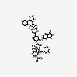 COc1ccccc1C1CCCN1C1CC2(CCN(c3ccc(C(=O)NS(=O)(=O)[C@]4(NCC5CCOCC5)C=CC=C([N+](=O)[O-])C4)c(Oc4cnc5[nH]ccc5c4)c3)CC2)C1